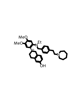 CCN(Cc1ccc(CCN2CCCCCC2)cc1)c1cc(OC)c(OC)cc1[C@@H]1CCc2cc(O)ccc2C1